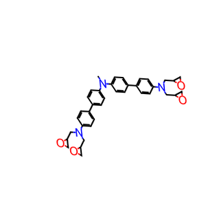 CN(c1ccc(-c2ccc(N(CC3CO3)CC3CO3)cc2)cc1)c1ccc(-c2ccc(N(CC3CO3)CC3CO3)cc2)cc1